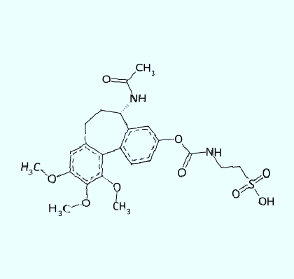 COc1cc2c(c(OC)c1OC)-c1ccc(OC(=O)NCCS(=O)(=O)O)cc1[C@@H](NC(C)=O)CC2